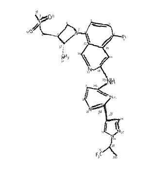 CC(C)c1ccc(N2C[C@H](CS(C)(=O)=O)[C@H]2N)c2cnc(Nc3ccnc(-c4cnn(C(C)C(F)(F)F)c4)n3)cc12